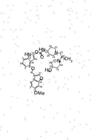 COc1ccc2c(COc3cccc4[nH]c(OC(=O)NC5CCN(C[C@H](C)N6CCC(O)CC6)CC5)cc34)coc2c1